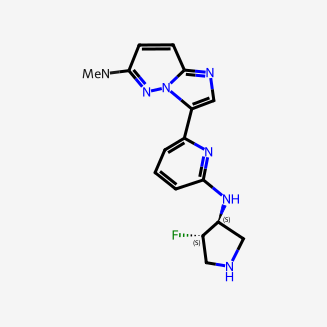 CNc1ccc2ncc(-c3cccc(N[C@H]4CNC[C@@H]4F)n3)n2n1